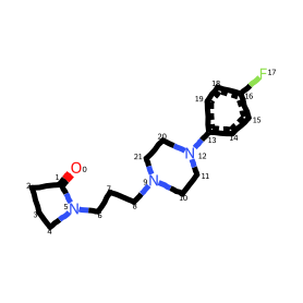 O=C1CCCN1CCCN1CCN(c2ccc(F)cc2)CC1